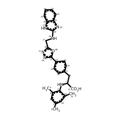 Cc1cc(C)c(NC(Cc2ccc(-c3nnc(CNc4nc5ccccc5[nH]4)o3)cc2)C(=O)O)c(C)c1